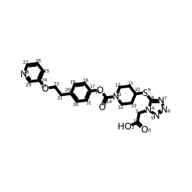 O=C(O)Cn1nnnc1SC1CCN(C(=O)Oc2ccc(CCOc3cccnc3)cc2)CC1